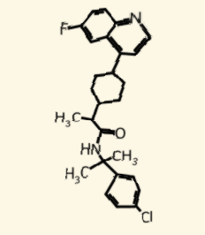 CC(C(=O)NC(C)(C)c1ccc(Cl)cc1)C1CCC(c2ccnc3ccc(F)cc23)CC1